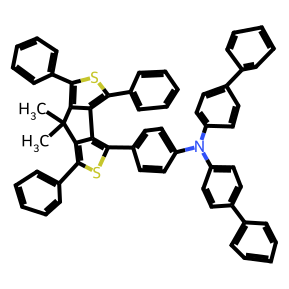 CC1(C)c2c(-c3ccccc3)sc(-c3ccccc3)c2-c2c(-c3ccc(N(c4ccc(-c5ccccc5)cc4)c4ccc(-c5ccccc5)cc4)cc3)sc(-c3ccccc3)c21